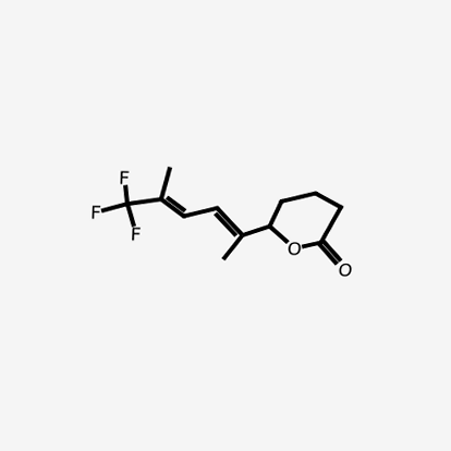 C/C(=C\C=C(/C)C(F)(F)F)C1CCCC(=O)O1